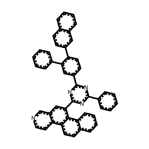 c1ccc(-c2nc(-c3ccc(-c4ccc5ccccc5c4)c(-c4ccccc4)c3)nc(-c3cc4cnccc4c4ccc5ccccc5c34)n2)cc1